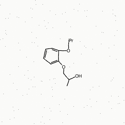 CC(O)COc1ccccc1OC(C)C